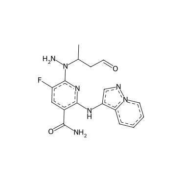 CC(CC=O)N(N)c1nc(Nc2cnn3ccccc23)c(C(N)=O)cc1F